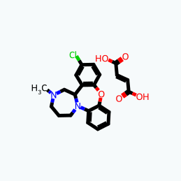 CN1CCCN2c3ccccc3Oc3ccc(Cl)cc3C2C1.O=C(O)C=CC(=O)O